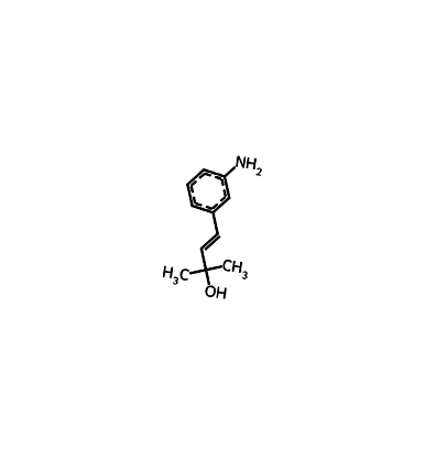 CC(C)(O)C=Cc1cccc(N)c1